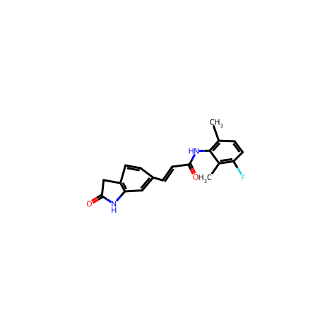 Cc1ccc(F)c(C)c1NC(=O)/C=C/c1ccc2c(c1)NC(=O)C2